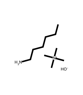 CCCCCCN.C[N+](C)(C)C.[OH-]